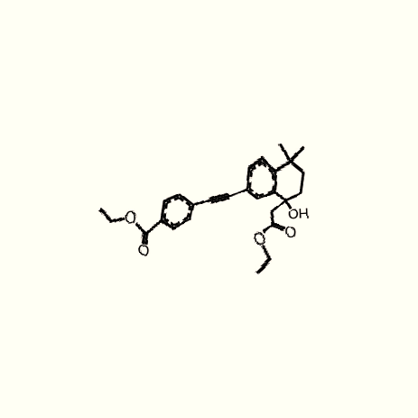 CCOC(=O)CC1(O)CCC(C)(C)c2ccc(C#Cc3ccc(C(=O)OCC)cc3)cc21